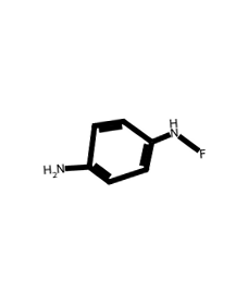 Nc1ccc(NF)cc1